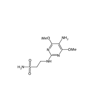 COc1nc(NCCS(N)(=O)=O)nc(OC)c1N